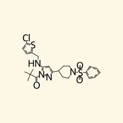 CC(C)(C)C(=O)n1nc(C2CCN(S(=O)(=O)c3ccccc3)CC2)cc1NCc1ccc(Cl)s1